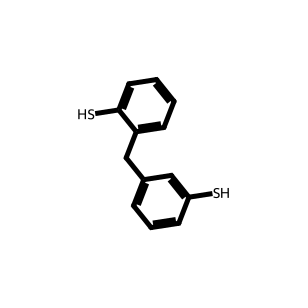 Sc1cccc(Cc2ccccc2S)c1